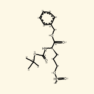 C[PH](=O)OCCC[C@@H](NC(=O)OC(C)(C)C)C(=O)OCc1ccccc1